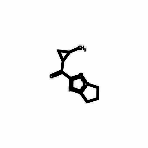 CC1CC1C(=O)c1nc2n(n1)CCC2